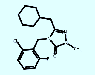 Cn1nc(CC2CCCCC2)n(Cc2c(F)cccc2Cl)c1=O